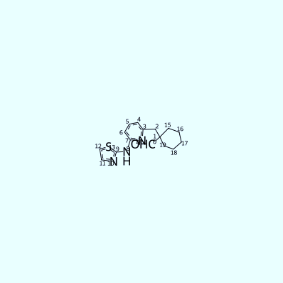 O=CC1(Cc2cccc(Nc3nccs3)n2)CCCCC1